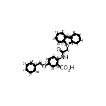 O=C(Cn1c2ccccc2c2ccccc21)Nc1ccc(OCc2ccccc2)cc1C(=O)O